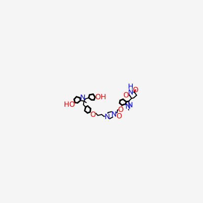 Cn1nc(C2CCC(=O)NC2=O)c2cccc(OCC(=O)N3CCN(CCCCOc4ccc(CC5(C)C(c6ccc(O)cc6)=Nc6ccc(O)cc65)cc4)CC3)c21